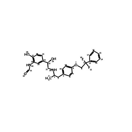 CC(Cc1ccc(OCC(F)(F)c2ccccc2)cc1)NC[C@H](O)c1ccc(O)c(NC=O)c1